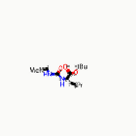 CNCNC(=O)N[C@@H](CC(C)C)C(=O)OC(C)(C)C